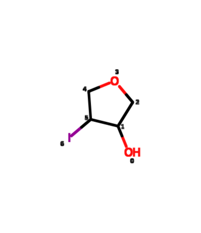 OC1COCC1I